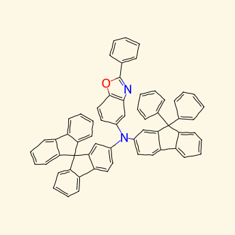 c1ccc(-c2nc3cc(N(c4ccc5c(c4)C(c4ccccc4)(c4ccccc4)c4ccccc4-5)c4ccc5c(c4)C4(c6ccccc6-c6ccccc64)c4ccccc4-5)ccc3o2)cc1